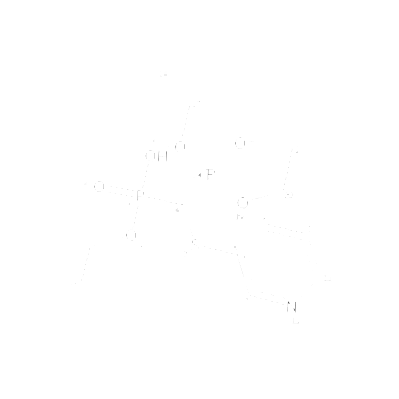 CCOP(=O)(O)C(Sc1cccnc1)P(=O)(OCC)OCC